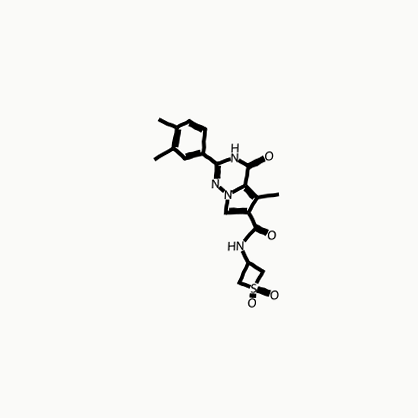 Cc1ccc(-c2nn3cc(C(=O)NC4CS(=O)(=O)C4)c(C)c3c(=O)[nH]2)cc1C